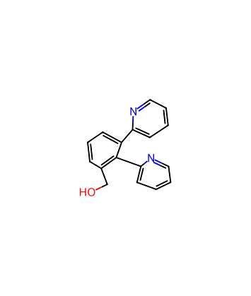 OCc1cccc(-c2ccccn2)c1-c1ccccn1